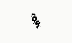 CC[C@@H](C)C(C)C(C)(CC)N(C)C1CCC2(CC1)OCCO2